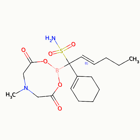 CCC/C=C/C(B1OC(=O)CN(C)CC(=O)O1)(C1=CCCCC1)S(N)(=O)=O